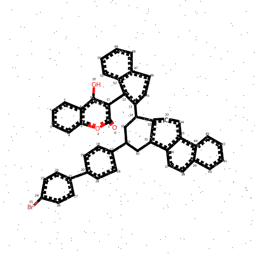 O=c1oc2ccccc2c(O)c1-c1c(C2CC(c3ccc(-c4ccc(Br)cc4)cc3)Cc3c2ccc2c3ccc3ccccc32)ccc2ccccc12